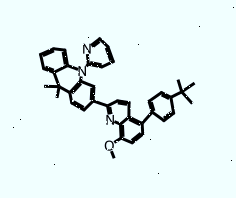 COc1ccc(-c2ccc(C(C)(C)C)cc2)c2ccc(-c3ccc4c(c3)N(c3ccccn3)c3ccccc3C4(C)C)nc12